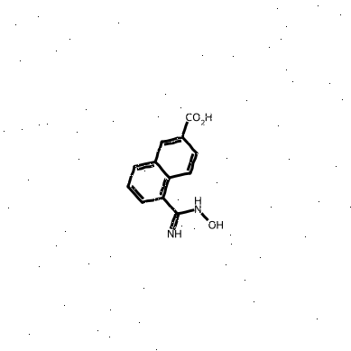 N=C(NO)c1cccc2cc(C(=O)O)ccc12